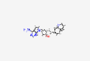 Nc1ncnc2c1ccn2[C@@H]1C[C@H](CCc2ccc3cccnc3c2)[C@@H](O)C1